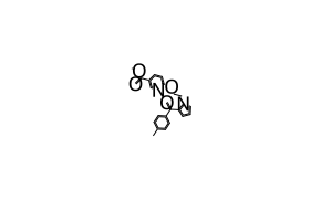 COC(=O)c1ccc(OCCn2cccc2C(=O)c2ccc(C)cc2)nc1